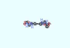 COC(=O)N[C@H](C(=O)N1CCC[C@H]1c1ncc(-c2ccc(C#Cc3ccc4nc([C@@H]5CCCN5C(=O)[C@H](NC(=O)OC)c5ccccc5)[nH]c4c3)cc2)[nH]1)C(C)C